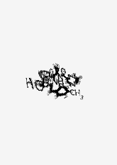 Cc1ccc(CC(NC(=O)C2(NC(=O)c3cnccn3)CC2)B(O)O)cc1